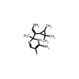 CC1C(/C(=C\N)C2(C)N=CC(F)=C(N)N2)C1(C)C